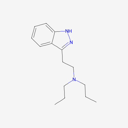 CCCN(CCC)CCc1n[nH]c2ccccc12